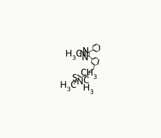 Cc1nc(C(C)(C)CCCc2cccc(-c3nn(C)nc3-c3ccccc3)c2)cs1